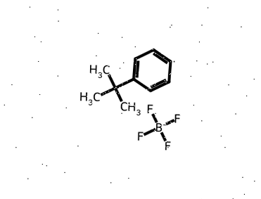 CC(C)(C)c1cc[c]cc1.F[B-](F)(F)F